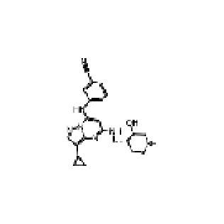 N#Cc1cccc(Nc2cc(NC[C@H]3CCNC[C@@H]3O)nc3c(C4CC4)cnn23)c1